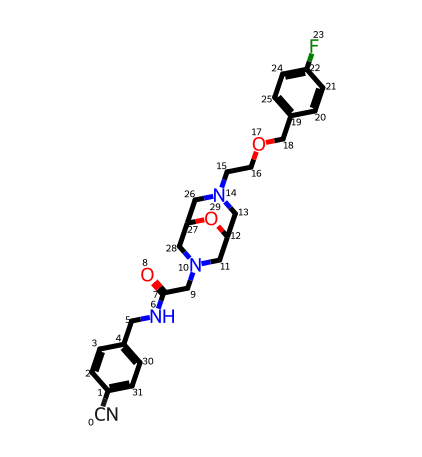 N#Cc1ccc(CNC(=O)CN2CC3CN(CCOCc4ccc(F)cc4)CC(C2)O3)cc1